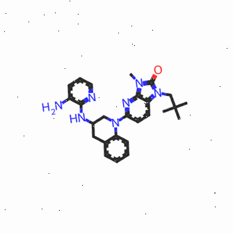 Cn1c(=O)n(CC(C)(C)C)c2ccc(N3CC(Nc4ncccc4N)Cc4ccccc43)nc21